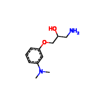 CN(C)c1cccc(OCC(O)CN)c1